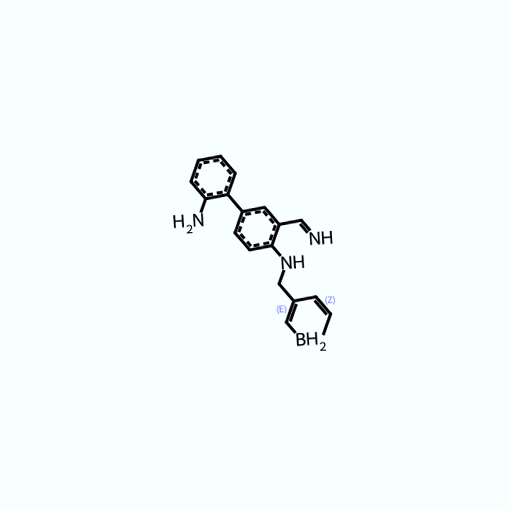 B/C=C(\C=C/C)CNc1ccc(-c2ccccc2N)cc1C=N